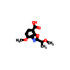 COc1ccc(C(=O)O)c2oc(C(C)OC)nc12